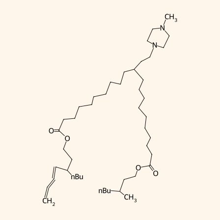 C=C=C=CC(CCCC)CCOC(=O)CCCCCCCCCC(CCCCCCCCCC(=O)OCCC(C)CCCC)CCN1CCN(C)CC1